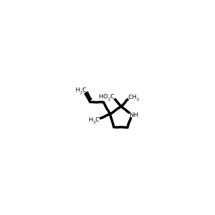 C=CCC1(C)CCNC1(C)C(=O)O